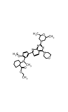 CCOC(=O)C1CCCCC1N(C)c1cc(-c2ccc3c(N4CCOCC4)nc(N4CC(C)OC(C)C4)nc3n2)ccc1OC